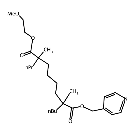 CCCCC(C)(CCCCC(C)(CCC)C(=O)OCCOC)C(=O)OCc1ccncc1